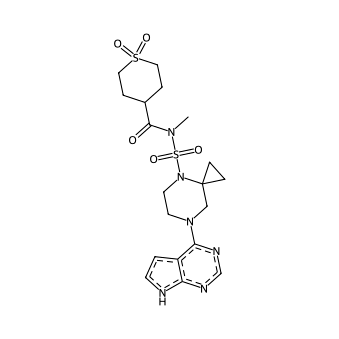 CN(C(=O)C1CCS(=O)(=O)CC1)S(=O)(=O)N1CCN(c2ncnc3[nH]ccc23)CC12CC2